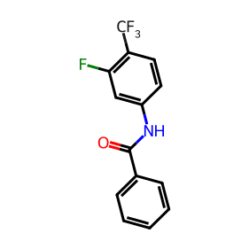 O=C(Nc1ccc(C(F)(F)F)c(F)c1)c1ccccc1